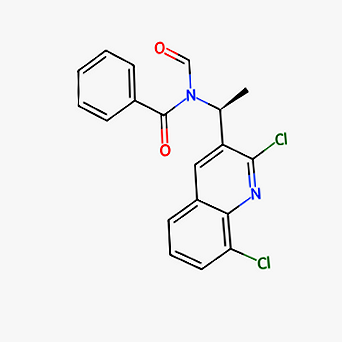 C[C@@H](c1cc2cccc(Cl)c2nc1Cl)N(C=O)C(=O)c1ccccc1